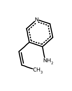 C/C=C\c1cnccc1N